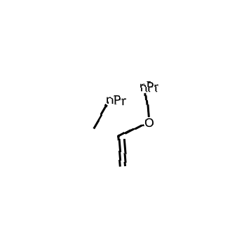 C=COCCC.CCCC